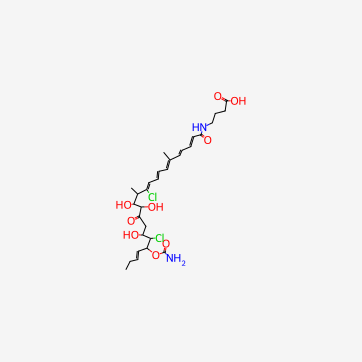 CC/C=C/C(OC(N)=O)C(Cl)C(O)CC(=O)C(O)C(O)C(C)/C(Cl)=C/C=C/C=C(C)/C=C/C=C/C(=O)NCCCC(=O)O